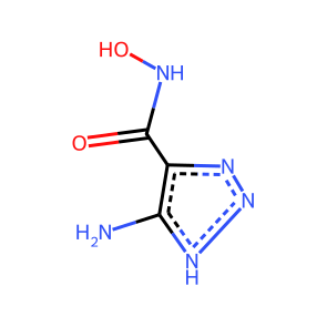 Nc1[nH]nnc1C(=O)NO